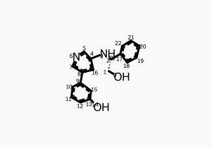 OC[C@H](Nc1cncc(-c2cccc(O)c2)c1)c1ccccc1